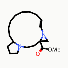 COC(=O)C12CCN3CCCC3CCCCCCC/C=C/N1C2